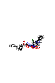 CC(C)Cc1ccc(C(=O)CCC(=O)NC[C@H]2CN(c3ccc(N(C)Cc4ccccc4)c(F)c3)C(=O)O2)cc1